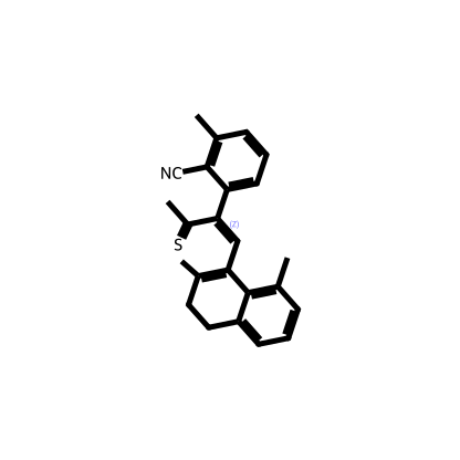 CC(=S)/C(=C\C1=C(C)CCc2cccc(C)c21)c1cccc(C)c1C#N